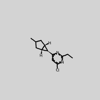 CCc1nc(Cl)cc([C@H]2[C@@H]3CC(C)C[C@@H]32)n1